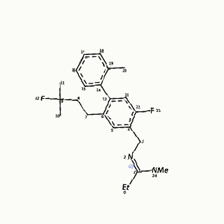 CC/C(=N/Cc1cc(CCC(C)(C)F)c(-c2ccccc2C)cc1F)NC